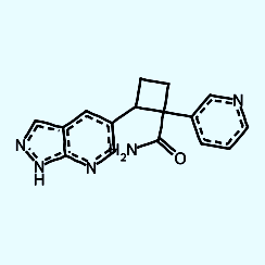 NC(=O)C1(c2cccnc2)CCC1c1cnc2[nH]ncc2c1